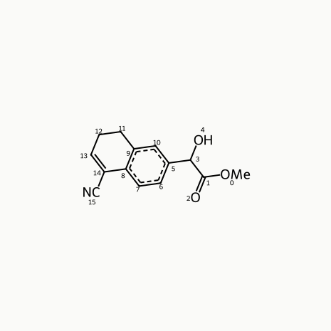 COC(=O)C(O)c1ccc2c(c1)CCC=C2C#N